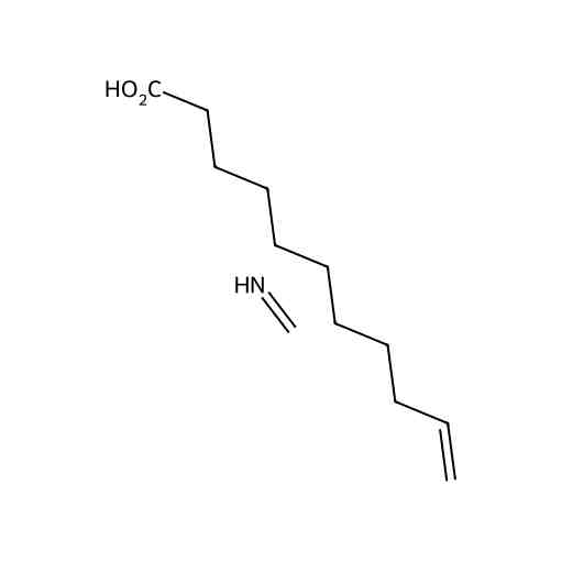 C=CCCCCCCCCC(=O)O.C=N